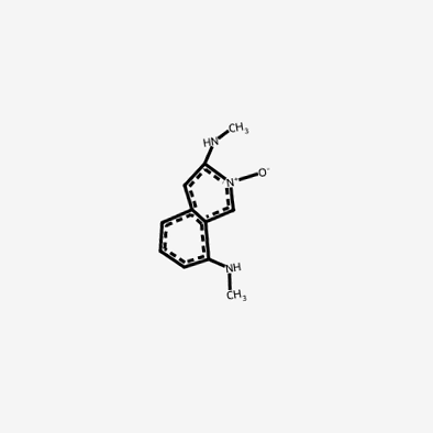 CNc1cccc2cc(NC)[n+]([O-])cc12